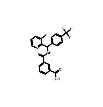 O=C(O)c1cccc(C(=O)NC(c2ccc(C(F)(F)F)cc2)c2ncccc2F)c1